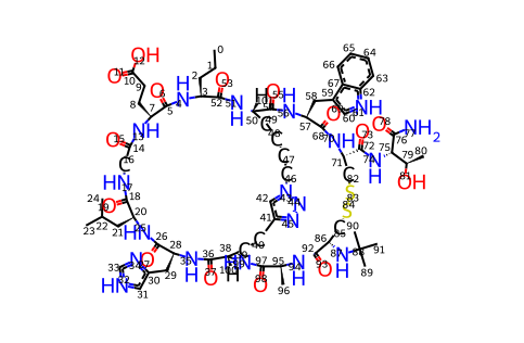 CCC[C@@H]1NC(=O)[C@H](CCC(=O)O)NC(=O)CNC(=O)[C@H](CC(C)C)NC(=O)[C@H](Cc2c[nH]cn2)NC(=O)[C@@H]2CCc3cn(nn3)CCCC[C@H](NC1=O)C(=O)N[C@@H](Cc1c[nH]c3ccccc13)C(=O)N[C@H](C(=O)N[C@H](C(N)=O)[C@@H](C)O)CSSC[C@H](NC(C)(C)C)C(=O)N[C@@H](C)C(=O)N2